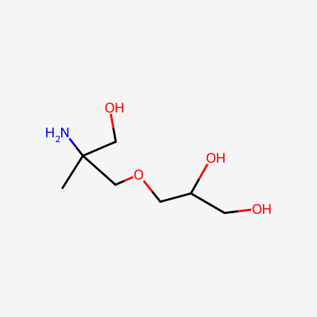 CC(N)(CO)COCC(O)CO